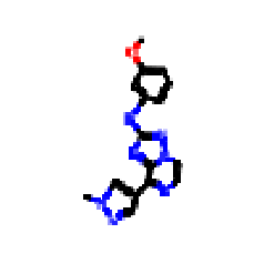 COc1cccc(Nc2nc3c(-c4cnn(C)c4)nccn3n2)c1